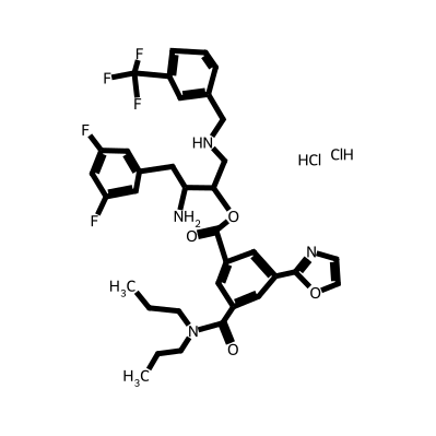 CCCN(CCC)C(=O)c1cc(C(=O)OC(CNCc2cccc(C(F)(F)F)c2)C(N)Cc2cc(F)cc(F)c2)cc(-c2ncco2)c1.Cl.Cl